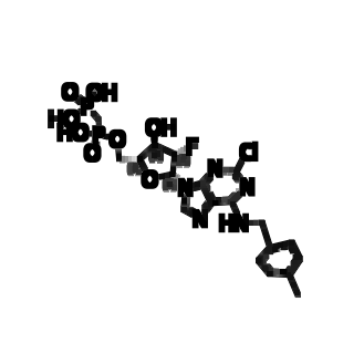 Cc1ccc(CNc2nc(Cl)nc3c2ncn3[C@@H]2O[C@H](COP(=O)(O)CP(=O)(O)O)[C@@H](O)[C@@H]2F)cc1